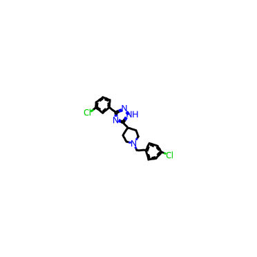 Clc1ccc(CN2CCC(c3nc(-c4cccc(Cl)c4)n[nH]3)CC2)cc1